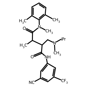 Cc1cccc(C)c1N(C)C(=O)C(C)C(CN(C)C(C)C)C(=O)Nc1cc(C#N)cc(C(F)(F)F)c1